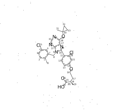 Cc1ccc(Cl)cc1Cn1c(-c2ccc(OCC[C@@H](C)C(=O)O)cc2Cl)nc2c(OC3(C)CC3)ncnc21